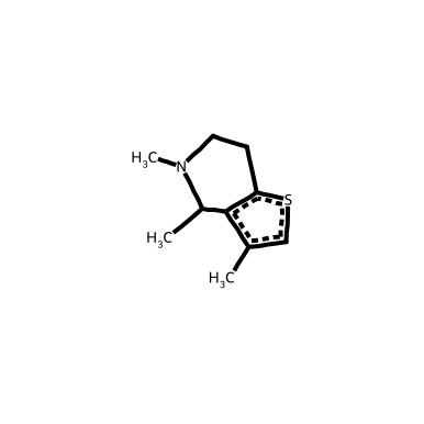 Cc1csc2c1C(C)N(C)CC2